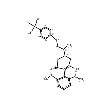 COc1cccc(OC)c1C1=C(O)CC(C(C)CSc2ccc(C(F)(F)F)cc2)CC1=O